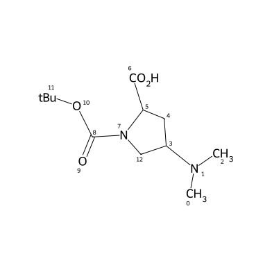 CN(C)C1CC(C(=O)O)N(C(=O)OC(C)(C)C)C1